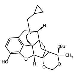 CC(C)(C)[C@@]1(C)OCO[C@]23CC[C@@]4(CC12)[C@H]1Cc2ccc(O)c5c2[C@@]4(CCN1CC1CC1)[C@H]3O5